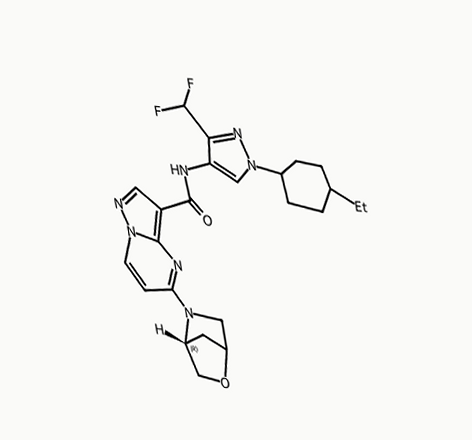 CCC1CCC(n2cc(NC(=O)c3cnn4ccc(N5CC6C[C@@H]5CO6)nc34)c(C(F)F)n2)CC1